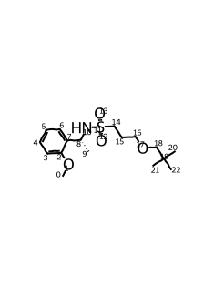 COc1ccccc1[C@@H](C)NS(=O)(=O)CCCOCC(C)(C)C